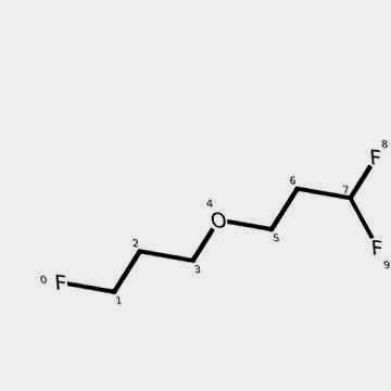 FCCCOCCC(F)F